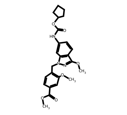 COC(=O)c1ccc(Cn2nc(OC)c3ccc(NC(=O)OC4CCCC4)cc32)c(OC)c1